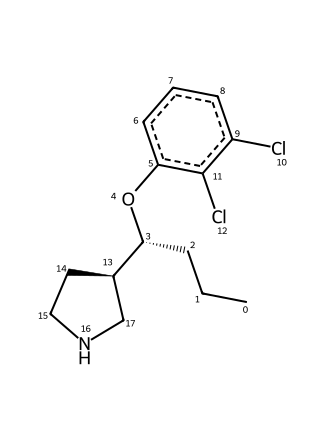 CCC[C@@H](Oc1cccc(Cl)c1Cl)[C@@H]1CCNC1